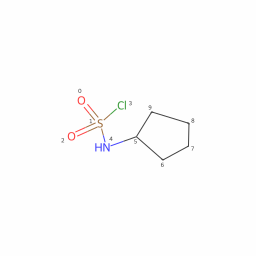 O=S(=O)(Cl)NC1CCCC1